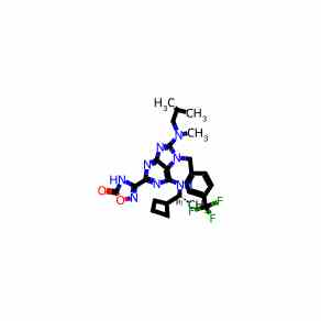 CC(C)CN(C)c1nc2nc(-c3noc(=O)[nH]3)nc(N[C@H](C)C3CCC3)c2n1Cc1ccc(C(F)(F)F)cc1